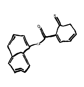 O=C(Oc1cccc2ccccc12)C1=CC=CCC1=S